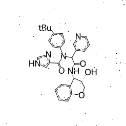 CC(C)(C)c1ccc(N(C(=O)c2c[nH]cn2)C(C(=O)N[C@H]2c3ccccc3OC[C@H]2O)c2cccnc2)cc1